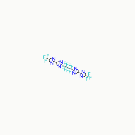 FC(F)(F)c1cnc(-c2cnc(C(F)(F)C(F)(F)C(F)(F)C(F)(F)c3ncc(-c4ncc(C(F)(F)F)cn4)cn3)nc2)nc1